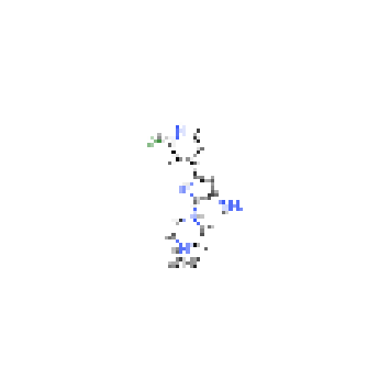 Nc1cc(-c2ccnc(Cl)c2)[nH]c1N1CCN(C=O)CC1